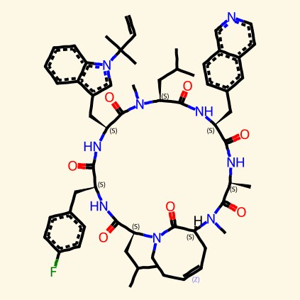 C=CC(C)(C)n1cc(C[C@@H]2NC(=O)[C@H](Cc3ccc(F)cc3)NC(=O)[C@H](CC(C)C)N3CC/C=C\C[C@@H](C3=O)N(C)C(=O)[C@H](C)NC(=O)[C@H](Cc3ccc4cnccc4c3)NC(=O)[C@H](CC(C)C)N(C)C2=O)c2ccccc21